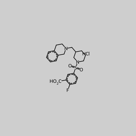 Cl.O=C(O)c1cc(S(=O)(=O)N2CCCC(CN3CCc4ccccc4C3)C2)ccc1F